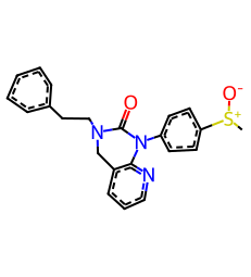 C[S+]([O-])c1ccc(N2C(=O)N(CCc3ccccc3)Cc3cccnc32)cc1